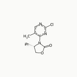 Cc1cnc(Cl)nc1N1C(=O)OC[C@@H]1C(C)C